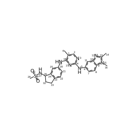 Cc1cnc(Nc2ccc3c(c2)nc(C)n3C)nc1Nc1ccc2c(c1)C(NS(C)(=O)=O)CC2